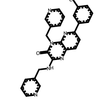 O=c1c(NCc2cccnc2)nc2ccc(-c3cccc(Cl)c3)nc2n1Cc1cccnc1